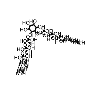 O=P(O)(O)O.O=P(O)(O)O.O=P(O)(O)O.O=P(O)(O)O.O=P(O)(O)O.O=P(O)(O)O.OC1C(O)C(O)C(O)C(O)C1O.[NaH].[NaH].[NaH].[NaH].[NaH].[NaH].[NaH].[NaH].[NaH].[NaH].[NaH].[NaH]